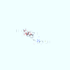 CSc1ccc2cc(C(=O)/C=C/c3cc(C)c(OC(C)(C)C(=O)OC(C)(C)C)c(C)c3)[nH]c2c1